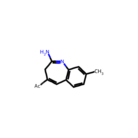 CC(=O)C1=Cc2ccc(C)cc2N=C(N)C1